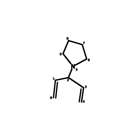 C=CC(C=C)N1CCCC1